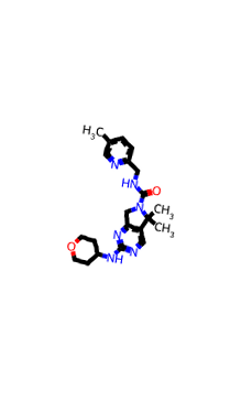 Cc1ccc(CNC(=O)N2Cc3nc(NC4CCOCC4)ncc3C2(C)C)nc1